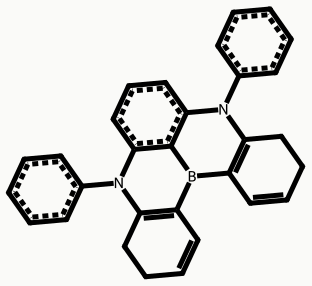 C1=CC2=C(CC1)N(c1ccccc1)c1cccc3c1B2C1=C(CCC=C1)N3c1ccccc1